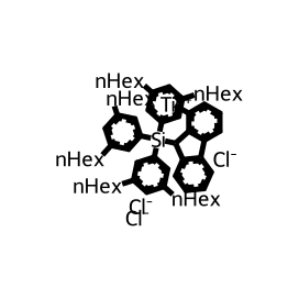 CCCCCCc1cc(CCCCCC)cc([Si](c2cc(CCCCCC)cc(CCCCCC)c2)(c2cc(CCCCCC)cc(CCCCCC)c2)C2c3ccccc3-c3ccc[c]([Ti+3])c32)c1.[Cl-].[Cl-].[Cl-]